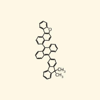 CC1(C)c2ccccc2-c2cc(-c3c4ccccc4c(-c4cccc5c4ccc4oc6ccccc6c45)c4ccccc34)ccc21